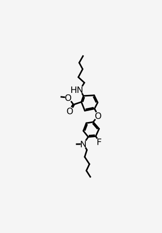 CCCCCNc1ccc(Oc2ccc(N(C)CCCCC)c(F)c2)cc1C(=O)OC